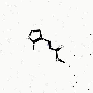 COC(=O)/C=C/c1ccsc1C